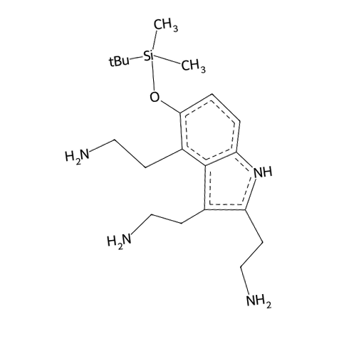 CC(C)(C)[Si](C)(C)Oc1ccc2[nH]c(CCN)c(CCN)c2c1CCN